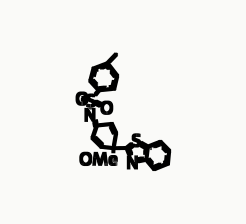 COC1(c2nc3ccccc3s2)C=CC(=NS(=O)(=O)c2ccc(C)cc2)C=C1